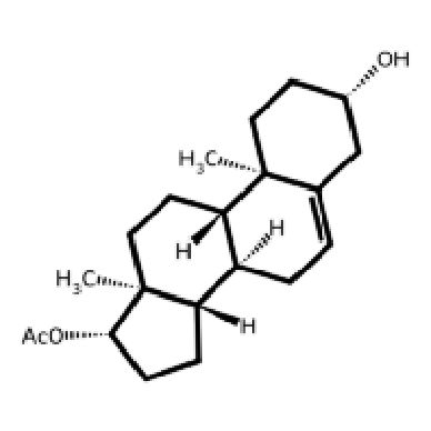 CC(=O)O[C@H]1CC[C@H]2[C@@H]3CC=C4C[C@@H](O)CC[C@]4(C)[C@H]3CC[C@]12C